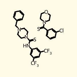 FC(F)(F)c1cc(NC(=S)N2CCN(Cc3ccccc3)CC2)cc(C(F)(F)F)c1.S=C(c1cccc(Cl)c1)N1CCOCC1